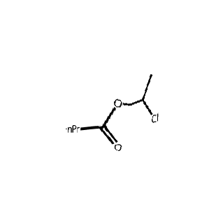 CC[CH]C(=O)OC(C)Cl